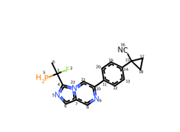 CC(F)(P)c1ncc2cnc(-c3ccc(C4(C#N)CC4)cc3)cn12